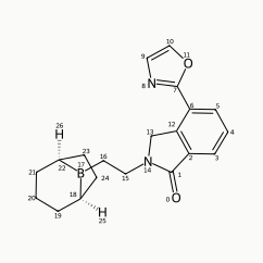 O=C1c2cccc(-c3ncco3)c2CN1CCB1[C@@H]2CCC[C@H]1CC2